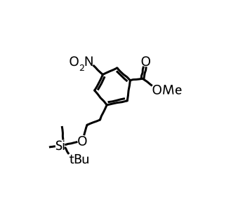 COC(=O)c1cc(CCO[Si](C)(C)C(C)(C)C)cc([N+](=O)[O-])c1